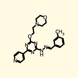 Cc1cccc(C=NNc2nc(OCCN3CCOCC3)nc(-c3ccncc3)n2)c1